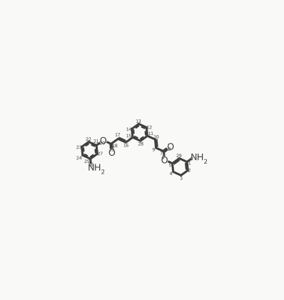 NC1=CCCC(OC(=O)/C=C/c2cccc(/C=C/C(=O)Oc3cccc(N)c3)c2)=C1